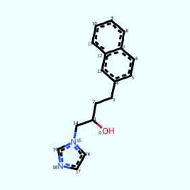 OC(CCc1ccc2ccccc2c1)Cn1ccnc1